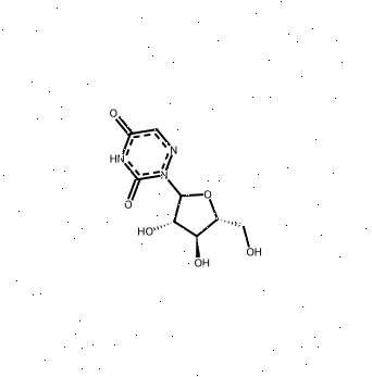 O=c1cnn(C2O[C@H](CO)[C@@H](O)[C@@H]2O)c(=O)[nH]1